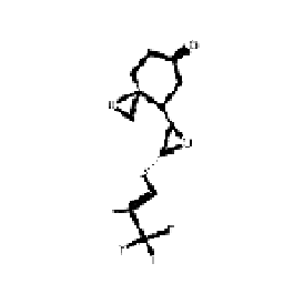 C/C(=C\C[C@H]1O[C@@H]1C1CC(=O)CC[C@]12CO2)C(F)(F)F